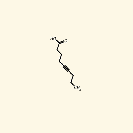 CCCC#CCCCC(=O)O